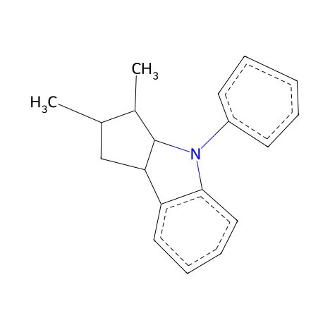 CC1CC2c3ccccc3N(c3ccccc3)C2C1C